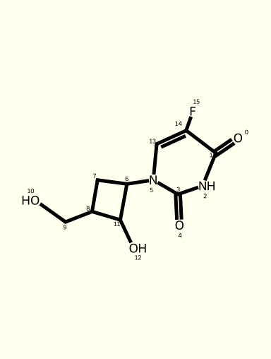 O=c1[nH]c(=O)n(C2CC(CO)C2O)cc1F